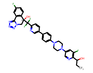 OC(CC(F)(F)F)c1ncc(N2CCN(c3ccc(-c4ccc(C(F)(F)[C@]5(O)Cn6nnnc6-c6cc(F)ccc65)nc4)cc3)CC2)cc1F